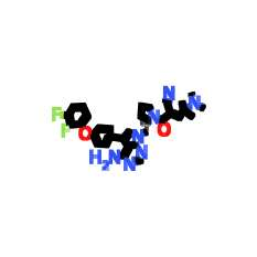 CN(C)C(C)(C)C=C(C#N)C(=O)N1CCC[C@H]1Cn1cc(-c2ccc(Oc3cccc(F)c3F)cc2)c2c(N)ncnc21